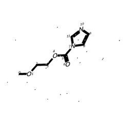 COCCOC(=O)n1ccnc1